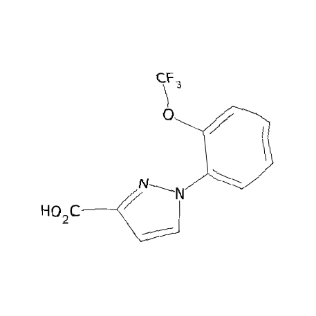 O=C(O)c1ccn(-c2ccccc2OC(F)(F)F)n1